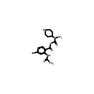 CC(=O)Nc1cc(Br)ccc1C(=O)OC(=O)N(C)C1CCNCC1